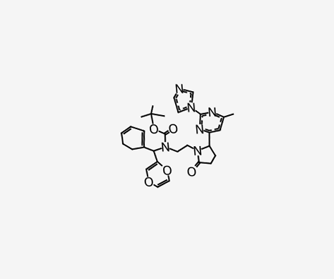 Cc1cc(C2CCC(=O)N2CCN(C(=O)OC(C)(C)C)C(C2=CC=CCC2)C2=COC=CO2)nc(-n2ccnc2)n1